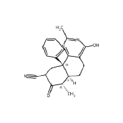 Cc1nc(O)c2c(n1)[C@@]1(c3ccccc3)CC(C#N)C(=O)[C@@H](C)[C@@H]1CC2